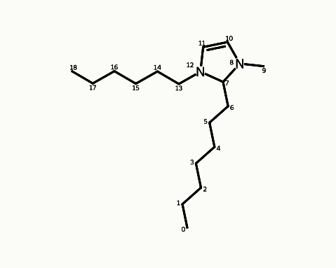 CCCCCCCC1N(C)C=CN1CCCCCC